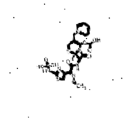 CON=C(C(=O)NC1C(=O)N2C(OC(=O)O)=C(C[n+]3ccccc3)CS[C@@H]12)c1csc(NP(=O)(O)O)n1